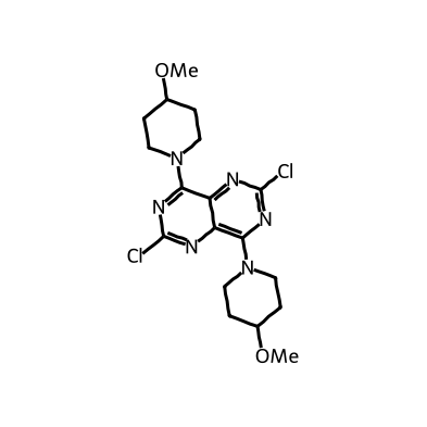 COC1CCN(c2nc(Cl)nc3c(N4CCC(OC)CC4)nc(Cl)nc23)CC1